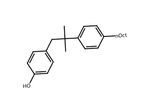 CCCCCCCCc1ccc(C(C)(C)Cc2ccc(O)cc2)cc1